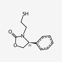 O=C1OC[C@H](c2ccccc2)N1CCS